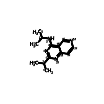 CC(C)Nc1nc(C(C)C)nc2ccncc12